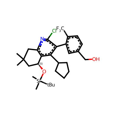 CC1(C)Cc2nc(Cl)c(-c3cc(CO)ccc3C(F)(F)F)c(C3CCCC3)c2[C@@H](O[Si](C)(C)C(C)(C)C)C1